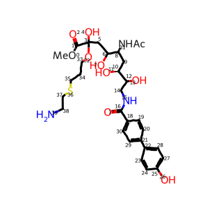 COC(=O)C(O)(CC(O)C(C[C@H](O)C(O)CNC(=O)c1ccc(-c2ccc(O)cc2)cc1)NC(C)=O)OCCCSCCN